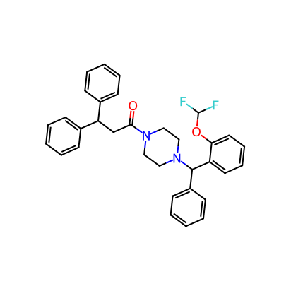 O=C(CC(c1ccccc1)c1ccccc1)N1CCN(C(c2ccccc2)c2ccccc2OC(F)F)CC1